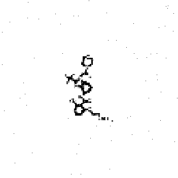 COCCOc1cccc(Cl)c1C(=O)Nc1cccc2c1nc(C(F)(F)F)n2CC(=O)N1CCOCC1